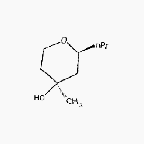 CCC[C@H]1C[C@@](C)(O)CCO1